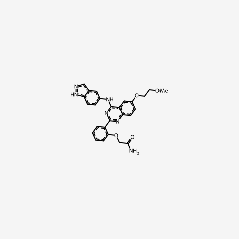 COCCOc1ccc2nc(-c3ccccc3OCC(N)=O)nc(Nc3ccc4[nH]ncc4c3)c2c1